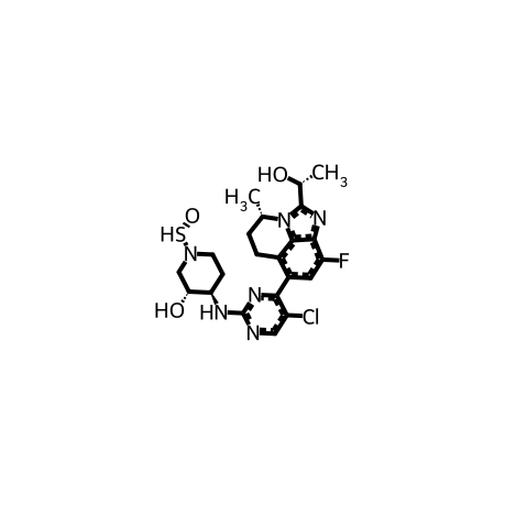 C[C@@H](O)c1nc2c(F)cc(-c3nc(N[C@@H]4CCN([SH]=O)C[C@H]4O)ncc3Cl)c3c2n1[C@@H](C)CC3